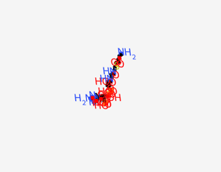 CC(C)(COP(=O)(O)OP(=O)(O)OC[C@H]1O[C@@H](n2cnc3c(N)ncnc32)[C@H](O)[C@@H]1OP(=O)(O)O)C(O)C(=O)NCCC(=O)NCCSC(=O)C(=O)CCCCN